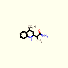 CC(C(N)=O)C1CC(C(=O)O)c2ccccc2N1